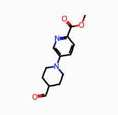 COC(=O)c1ccc(N2CCC(C=O)CC2)cn1